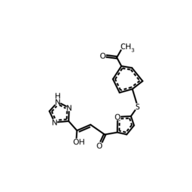 CC(=O)c1ccc(Sc2ccc(C(=O)C=C(O)c3nc[nH]n3)o2)cc1